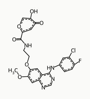 COc1cc2ncnc(Nc3ccc(F)c(Cl)c3)c2cc1OCCNC(=O)c1cc(=O)c(O)co1